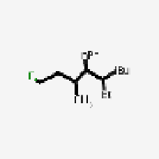 CCCC(C(C)CCF)C(CC)C(C)CC